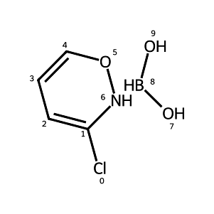 ClC1=CC=CON1.OBO